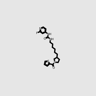 O=C(NCCCCCCC1CCN(C(=O)c2cccs2)C1)Nc1ccnc(F)c1